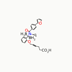 BC(B)(c1ccccc1OCC#CCCC(=O)O)N(C(=O)c1ccc(-c2ccco2)cc1)C1CC1